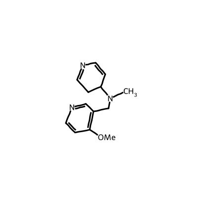 COc1ccncc1CN(C)C1C=CN=CC1